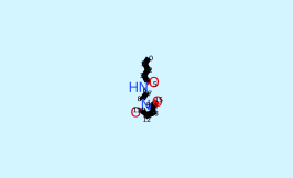 CCCCC(=O)NCCN1C(=O)C=CC1=O